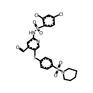 O=Cc1cc(NS(=O)(=O)c2ccc(Cl)cc2Cl)ncc1Sc1ccc(S(=O)(=O)N2CCCCC2)cc1